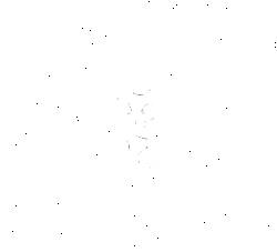 COc1ccc2c(c1)CC(c1cc(Cl)cc(Cl)c1)(C(F)(F)F)C2